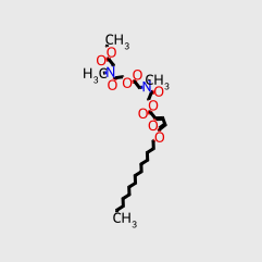 CCCCCCCCCCCCCCOc1ccc(C(=O)OCC(=O)N(C)CC(=O)OCC(=O)N(C)CC(=O)OCC)o1